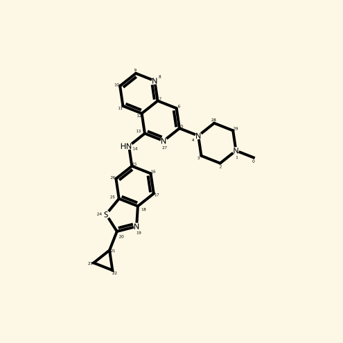 CN1CCN(c2cc3ncccc3c(Nc3ccc4nc(C5CC5)sc4c3)n2)CC1